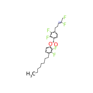 CCCCCCCCc1ccc(OC(=O)c2ccc(CC/C=C(\F)CF)c(F)c2F)c(F)c1F